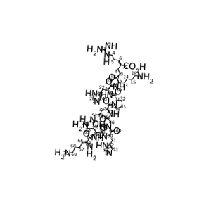 N=C(N)NCC/C=C(\CCC(=O)[C@H](CCCCN)NC(=O)[C@H](Cc1cnc[nH]1)NC(=O)[C@@H]1CCCN1C(=O)[C@@H](CCCN)NC(=O)CNC(=O)[C@H](Cc1cnc[nH]1)NC(=O)[C@@H](NC(=O)[C@@H](N)CCCCN)[C@@H](O)CN)C(=O)O